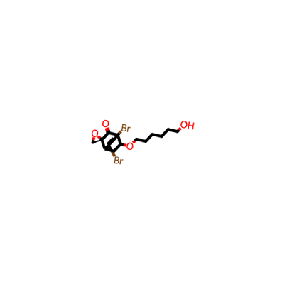 O=C1C2(Br)C=C(Br)C(CC2OCCCCCCO)[C@@]12CO2